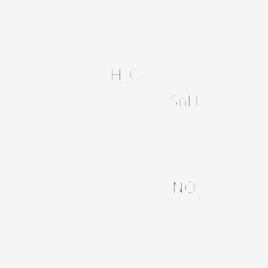 O=[N+]([O-])c1ccccc1.[CH3][SnH3]